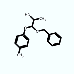 Cc1ccc(OC(OCc2ccccc2)C(C)O)cc1